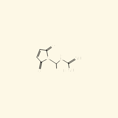 N=C(N)NC(C(=O)O)N1C(=O)C=CC1=O